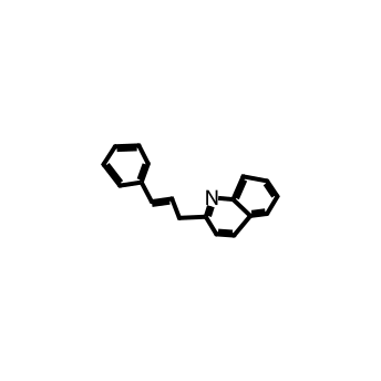 C(=Cc1ccccc1)Cc1ccc2ccccc2n1